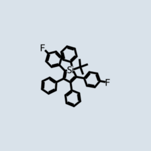 CC(C)(C)[Si]1(c2ccccc2)C(c2ccc(F)cc2)=C(c2ccccc2)C(c2ccccc2)=C1c1ccc(F)cc1